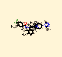 [2H]C(C)(N1C2C[C@H](n3c(CC)nnc3C(C)CC)C[C@H]1C(C)(C)C2)C(C)(C)[C@]([2H])(NC(=O)C1(C)CCC(F)(F)C(C)C1)c1cccc(C)c1C